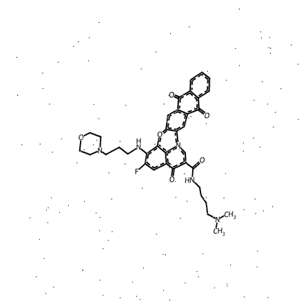 CN(C)CCCCNC(=O)c1cn2c3cc4c(=O)c5ccccc5c(=O)c4cc3oc3c(NCCCN4CCOCC4)c(F)cc(c1=O)c32